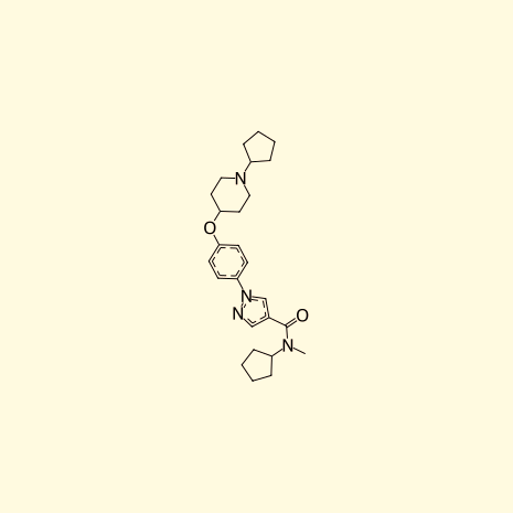 CN(C(=O)c1cnn(-c2ccc(OC3CCN(C4CCCC4)CC3)cc2)c1)C1CCCC1